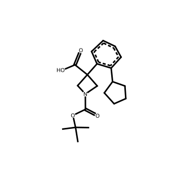 CC(C)(C)OC(=O)N1CC(C(=O)O)(c2ccccc2C2CCCC2)C1